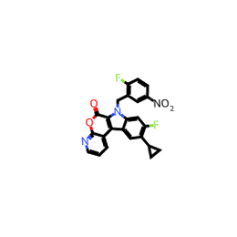 O=c1oc2ncccc2c2c3cc(C4CC4)c(F)cc3n(Cc3cc([N+](=O)[O-])ccc3F)c12